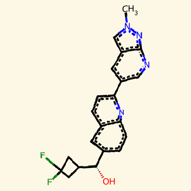 Cn1cc2cc(-c3ccc4cc([C@H](O)C5CC(F)(F)C5)ccc4n3)cnc2n1